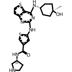 C[C@]1(O)CC[C@H](Nc2nc(Nc3cc(C(=O)N[C@H]4CCNC4)cs3)nc3ccsc23)CC1